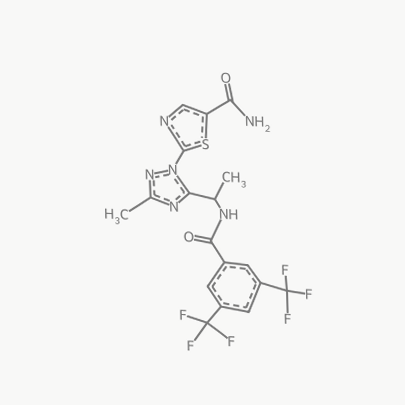 Cc1nc(C(C)NC(=O)c2cc(C(F)(F)F)cc(C(F)(F)F)c2)n(-c2ncc(C(N)=O)s2)n1